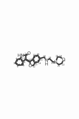 O=C1Nc2ccccc2/C1=C1\OCc2cc(CNCCN3CCOCC3)ccc21